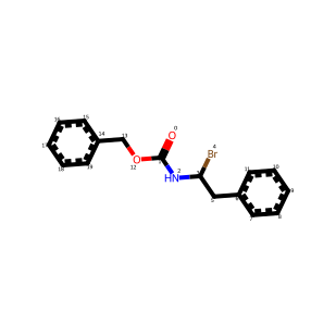 O=C(NC(Br)Cc1ccccc1)OCc1ccccc1